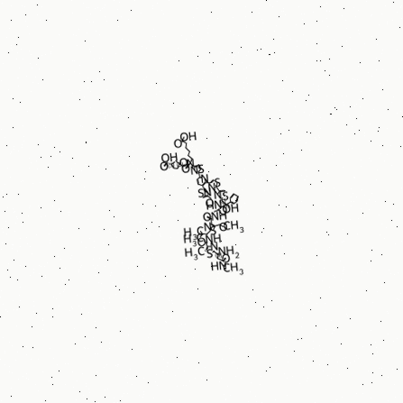 CNC(=O)C[C@H](N)c1nc(C(=O)NC(c2nc(C(=O)NCC(=O)N[C@H](c3nc(-c4nc(-c5nc(-c6nc(N(CCCCCC(=O)O)C(=O)O[C@H]7CC[C@H](C(=O)O)C7)cs6)ccc5-c5nc(C=O)cs5)cs4)cs3)[C@@H](O)c3ccccc3)c(COC)s2)C(C)C)c(C)s1